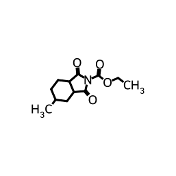 CCOC(=O)N1C(=O)C2CCC(C)CC2C1=O